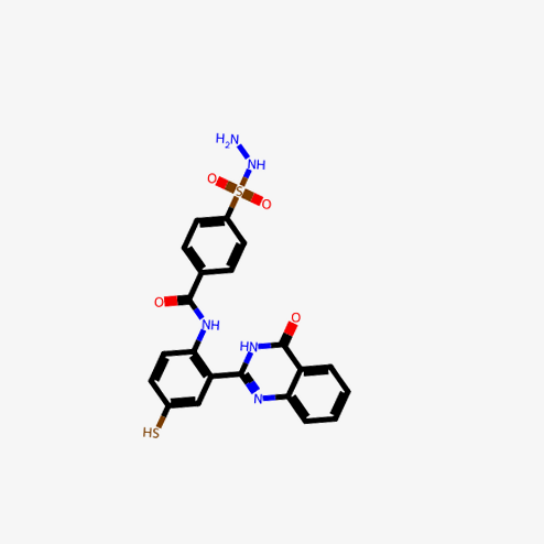 NNS(=O)(=O)c1ccc(C(=O)Nc2ccc(S)cc2-c2nc3ccccc3c(=O)[nH]2)cc1